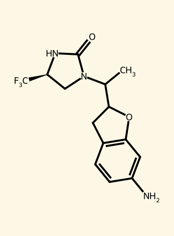 CC(C1Cc2ccc(N)cc2O1)N1C[C@@H](C(F)(F)F)NC1=O